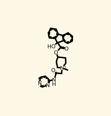 C[N+]1(CC(=O)Nc2ccncn2)CCC(OC(=O)C2(O)c3ccccc3-c3ccccc32)CC1